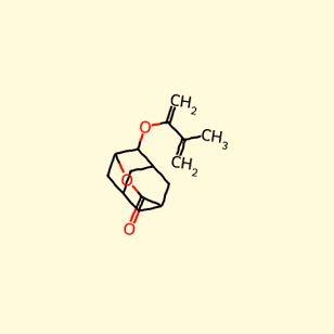 C=C(C)C(=C)OC1C2CC3CC(C2)C(=O)OC1C3